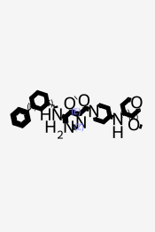 C=C(NC[C@H]1CCC[C@@H](c2ccccc2)C1)/C(OC)=C(\N=C/N)C(=O)N1CCC(N[C@@H]2CCOC[C@@H]2OC)CC1